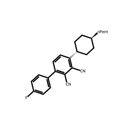 CCCCC[C@H]1CC[C@H](c2ccc(-c3ccc(F)cc3)c(C#N)c2C#N)CC1